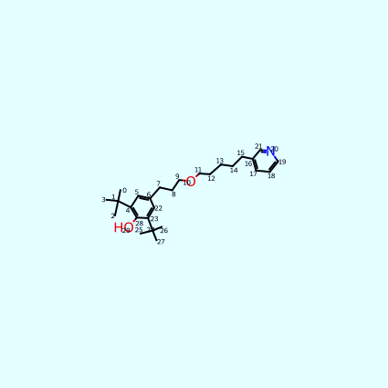 CC(C)(C)c1cc(CCCOCCCCCc2cccnc2)cc(C(C)(C)C)c1O